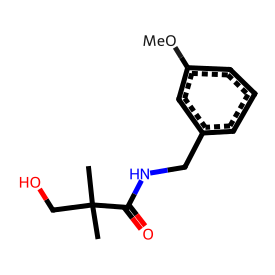 COc1cccc(CNC(=O)C(C)(C)CO)c1